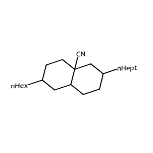 CCCCCCCC1CCC2CC(CCCCCC)CCC2(C#N)C1